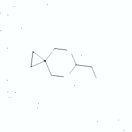 [O]CC1OCC2(CC2)CO1